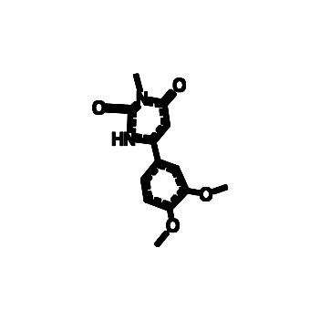 COc1ccc(-c2cc(=O)n(C)c(=O)[nH]2)cc1OC